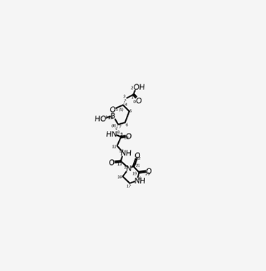 O=C(O)C[C@@H]1CC[C@H](NC(=O)CNC(=O)N2CCNC(=O)C2=O)B(O)O1